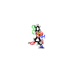 COc1ccc(NS(=O)(=O)c2cccc(Cl)c2Cl)c2c1C[C@@H](N(C)C)CO2